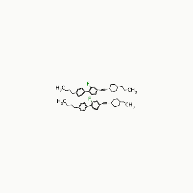 CCCCc1ccc(-c2ccc(C#C[C@H]3CC[C@H](CC)CC3)cc2F)cc1.CCCCc1ccc(-c2ccc(C#C[C@H]3CC[C@H](CCC)CC3)cc2F)cc1